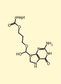 CCCCCCCC(=O)OCCCOC(O)N1CNc2c1nc(N)[nH]c2=O